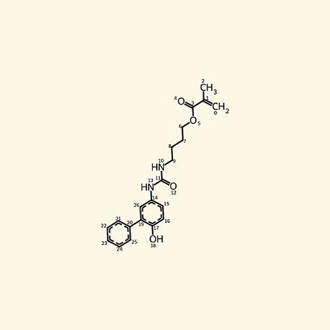 C=C(C)C(=O)OCCCCNC(=O)Nc1ccc(O)c(-c2ccccc2)c1